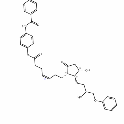 O=C(CC/C=C\CC[C@@H]1C(=O)C[C@H](O)[C@H]1OCC(O)COc1ccccc1)Oc1ccc(NC(=O)c2ccccc2)cc1